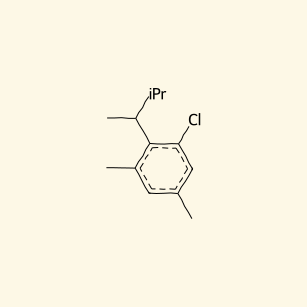 Cc1cc(C)c(C(C)C(C)C)c(Cl)c1